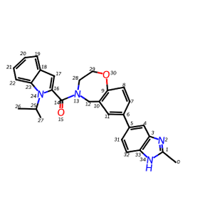 Cc1nc2cc(-c3ccc4c(c3)CN(C(=O)c3cc5ccccc5n3C(C)C)CCO4)ccc2[nH]1